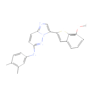 CCOc1cccc2cc(-c3cnc4ccc(Nc5ccc(C)c(C)c5)nn34)sc12